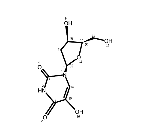 O=c1[nH]c(=O)n([C@H]2C[C@@H](O)[C@@H](CO)O2)cc1O